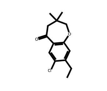 CCc1cc2c(cc1Cl)C(=O)CC(C)(C)CO2